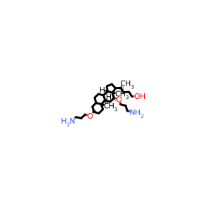 C[C@H](CCCO)C1CC[C@H]2C3CCC4C[C@H](OCCCN)CCC4(C)[C@H]3C[C@H](OCCCN)C12C